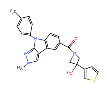 Cn1cc2c3cc(C(=O)N4CC(O)(c5ccsc5)C4)ccc3n(-c3ccc(C(F)(F)F)cc3)c2n1